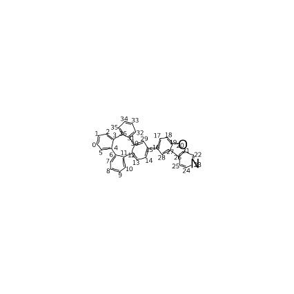 c1ccc2c(c1)-c1ccccc1-c1ccc(-c3ccc4oc5cnccc5c4c3)cc1-c1ccccc1-2